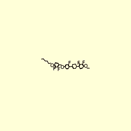 CCCCCCOc1ccc(COc2ccc(C3=CCC(c4ccc(OCC)c(F)c4F)CC3)c(F)c2)c(F)c1F